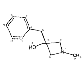 CN1CC(O)(Cc2ccccc2)C1